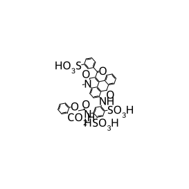 Cn1c(=O)c(C(=O)c2cccc(S(=O)(=O)O)c2)c2c3c(c(Nc4cc(NC(=O)COc5ccccc5C(=O)O)c(S(=O)(=O)O)cc4S(=O)(=O)O)ccc31)C(=O)c1ccccc1-2